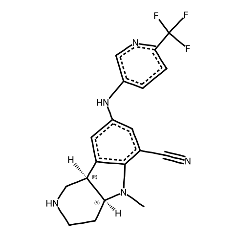 CN1c2c(C#N)cc(Nc3ccc(C(F)(F)F)nc3)cc2[C@@H]2CNCC[C@@H]21